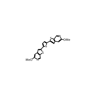 COc1cc2cc(-c3ccc(-c4cc5cc(OC)ncc5s4)s3)sc2cn1